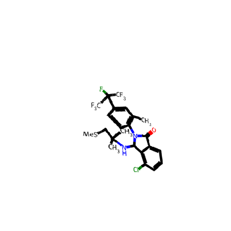 CSCC(C)(C)NC1c2c(Cl)cccc2C(=O)N1c1ccc(C(F)(C(F)(F)F)C(F)(F)F)cc1C